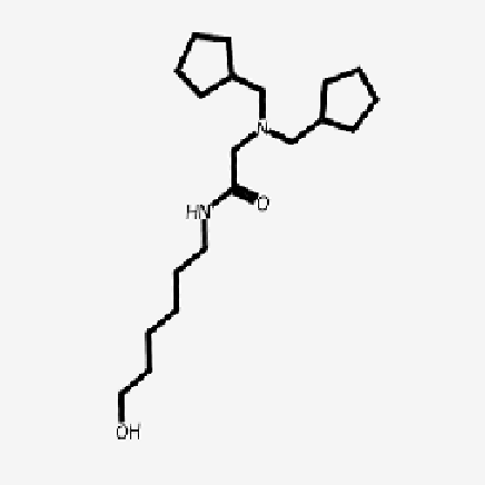 O=C(CN(CC1CCCC1)CC1CCCC1)NCCCCCCO